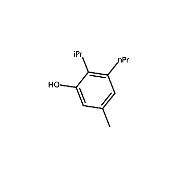 CCCc1cc(C)cc(O)c1C(C)C